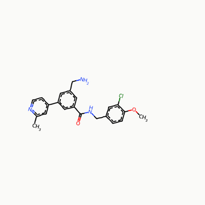 COc1ccc(CNC(=O)c2cc(CN)cc(-c3ccnc(C)c3)c2)cc1Cl